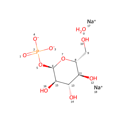 O.O=P([O-])([O-])O[C@H]1O[C@H](CO)[C@@H](O)[C@H](O)[C@H]1O.[Na+].[Na+]